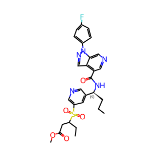 CCC[C@H](NC(=O)c1cncc2c1cnn2-c1ccc(F)cc1)c1cncc(S(=O)(=O)C(CC)CC(=O)OC)c1